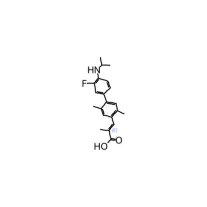 C/C(=C\c1cc(C)c(-c2ccc(NC(C)C)c(F)c2)cc1C)C(=O)O